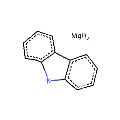 [MgH2].c1ccc2c(c1)[N]c1ccccc1-2